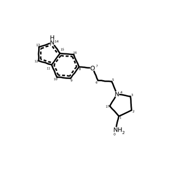 NC1CCN(CCOc2ccc3cc[nH]c3c2)C1